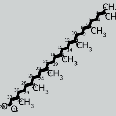 CC(C)=CCC/C(C)=C/CC/C(C)=C/CC/C(C)=C/CC/C(C)=C/CC/C(C)=C/CC/C(C)=C/C(=O)O